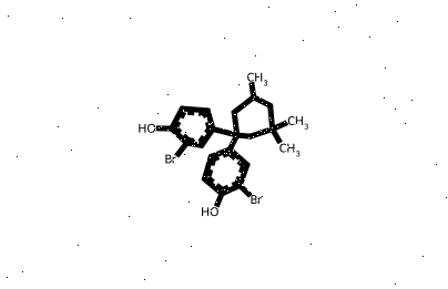 CC1CC(C)(C)CC(c2ccc(O)c(Br)c2)(c2ccc(O)c(Br)c2)C1